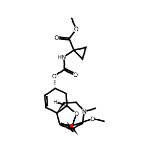 COC(=O)C1(NC(=O)O[C@H]2C=C[C@@]34CCN(C)Cc5ccc(OC)c(c53)O[C@H]4C2)CC1